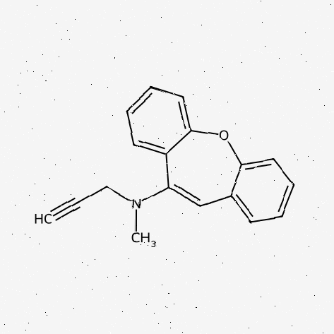 C#CCN(C)C1=Cc2ccccc2Oc2ccccc21